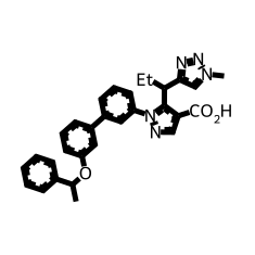 CCC(c1cn(C)nn1)c1c(C(=O)O)cnn1-c1cccc(-c2cccc(OC(C)c3ccccc3)c2)c1